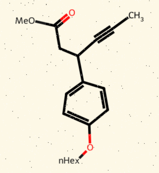 CC#CC(CC(=O)OC)c1ccc(OCCCCCC)cc1